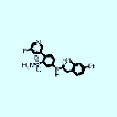 CCc1ccc(CC(=O)Nc2ccc(-c3cncc(F)c3)c(S(N)(=O)=O)c2)c(Cl)c1